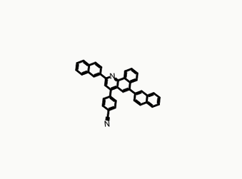 N#Cc1ccc(-c2cc(-c3ccc4ccccc4c3)nc3c2cc(-c2ccc4ccccc4c2)c2ccccc23)cc1